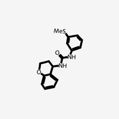 CSc1cccc(NC(=O)NC2CCOc3ccccc32)c1